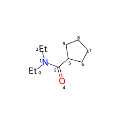 CCN(CC)C(=O)C1C[CH]CC1